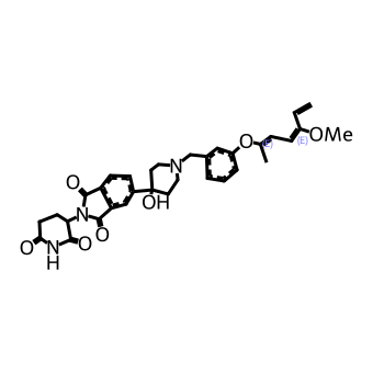 C=C/C(=C\C=C(/C)Oc1cccc(CN2CCC(O)(c3ccc4c(c3)C(=O)N(C3CCC(=O)NC3=O)C4=O)CC2)c1)OC